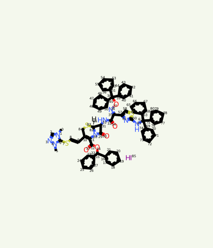 CN1C=NN(C)C1SC=CC1=C(C(=O)OC(c2ccccc2)c2ccccc2)N2C(=O)C(NC(=O)C(=NOC(c3ccccc3)(c3ccccc3)c3ccccc3)c3csc(NC(c4ccccc4)(c4ccccc4)c4ccccc4)n3)[C@@H]2SC1.I